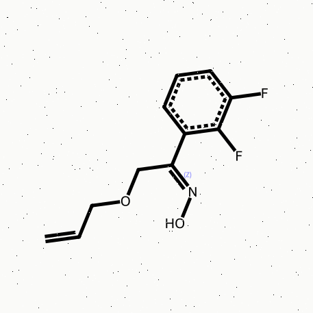 C=CCOC/C(=N\O)c1cccc(F)c1F